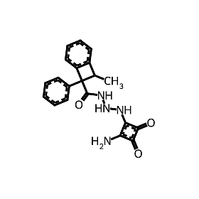 CC1c2ccccc2C1(C(=O)NNNc1c(N)c(=O)c1=O)c1ccccc1